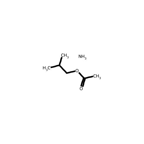 CC(=O)OCC(C)C.N